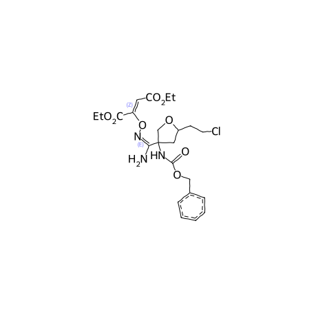 CCOC(=O)/C=C(\O/N=C(/N)C1(NC(=O)OCc2ccccc2)COC(CCCl)C1)C(=O)OCC